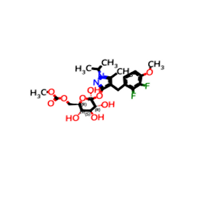 COC(=O)OC[C@H]1O[C@@](O)(Oc2nn(C(C)C)c(C)c2Cc2ccc(OC)c(F)c2F)[C@H](O)[C@@H](O)[C@@H]1O